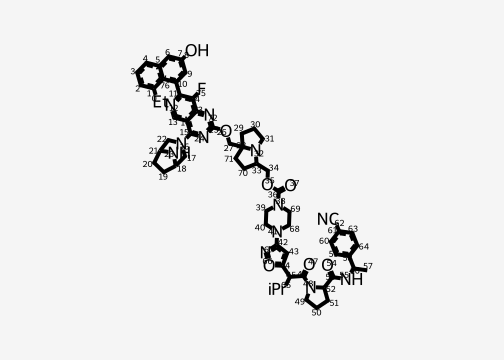 CCc1cccc2cc(O)cc(-c3ncc4c(N5CC6CCC(C5)N6)nc(OCC56CCCN5C(COC(=O)N5CCN(c7cc(C(C(=O)N8CCCC8C(=O)NC(C)c8ccc(C#N)cc8)C(C)C)on7)CC5)CC6)nc4c3F)c12